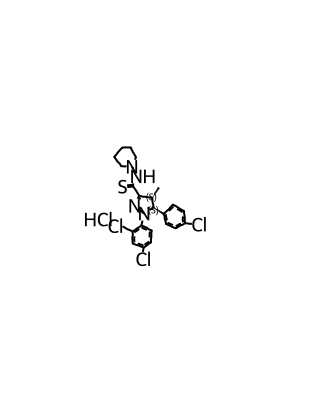 C[C@@H]1C(C(=S)NN2CCCCC2)=NN(c2ccc(Cl)cc2Cl)[C@@H]1c1ccc(Cl)cc1.Cl